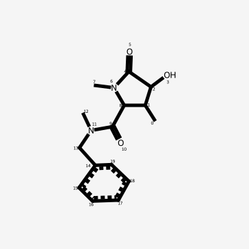 CC1C(O)C(=O)N(C)C1C(=O)N(C)Cc1ccccc1